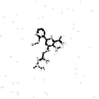 CCOc1ncccc1-c1cc(NC/C(N)=N/N(C)N)c(NC(C)C)c(C(C)=N)n1